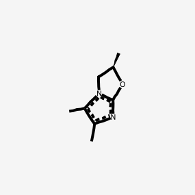 Cc1nc2n(c1C)C[C@@H](C)O2